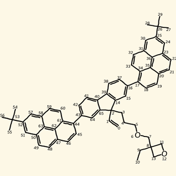 C=CC1(CCCOCC2(CC)COC2)c2cc(-c3ccc4ccc5cc(C(C)(C)C)cc6ccc3c4c56)ccc2-c2ccc(-c3ccc4ccc5cc(C(C)(C)C)cc6ccc3c4c56)cc21